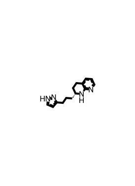 c1cnc2c(c1)CC[C@@H](CCCc1cc[nH]n1)N2